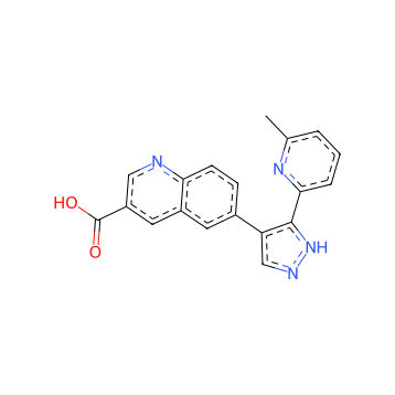 Cc1cccc(-c2[nH]ncc2-c2ccc3ncc(C(=O)O)cc3c2)n1